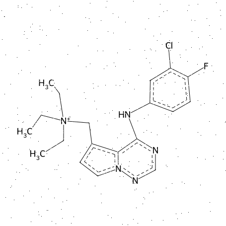 CC[N+](CC)(CC)Cc1ccn2ncnc(Nc3ccc(F)c(Cl)c3)c12